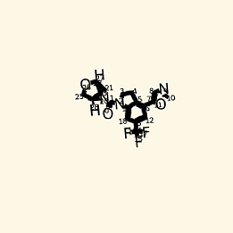 O=C(N1CCc2c(-c3cnco3)cc(C(F)(F)F)cc21)N1C[C@@H]2C[C@H]1CO2